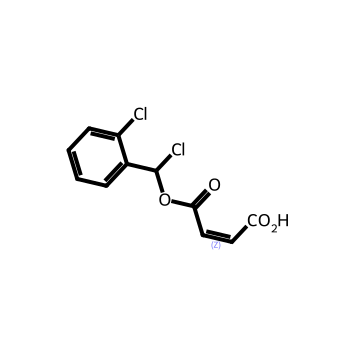 O=C(O)/C=C\C(=O)OC(Cl)c1ccccc1Cl